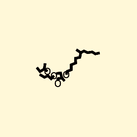 CCCCCC(C)CCCCCCOC(C)(CC)C(=O)OCC(CC)OC(C)CC